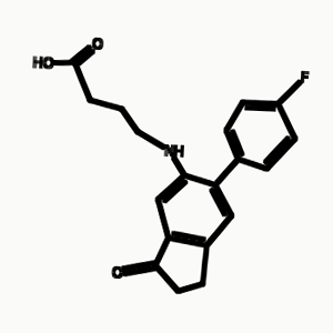 O=C(O)CCCNc1cc2c(cc1-c1ccc(F)cc1)CCC2=O